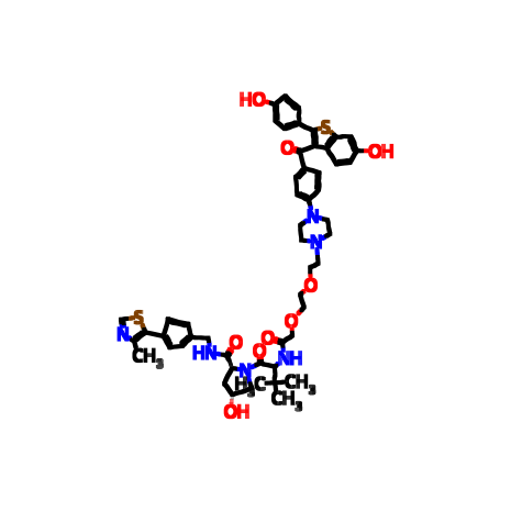 Cc1ncsc1-c1ccc(CNC(=O)[C@@H]2C[C@@H](O)CN2C(=O)C(NC(=O)COCCOCCN2CCN(c3ccc(C(=O)c4c(-c5ccc(O)cc5)sc5cc(O)ccc45)cc3)CC2)C(C)(C)C)cc1